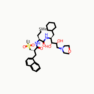 CCS(=O)(=O)C[C@@H](Cc1cccc2ccccc12)C(=O)N[C@@H](CCSC)C(=O)N[C@@H](CC1CCCCC1)[C@@H](O)[C@@H](O)CN1CCOCC1